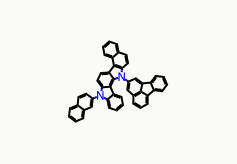 c1ccc2c(c1)-c1cccc3cc(-n4c5ccc6ccccc6c5c5ccc6c(c7ccccc7n6-c6ccc7ccccc7c6)c54)cc-2c13